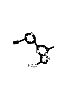 C#Cc1cncc(-c2cc(C)n3ncc(C(=O)O)c3n2)c1